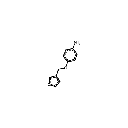 Nc1ccc(OCc2ccoc2)cc1